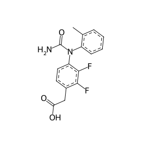 Cc1ccccc1N(C(N)=O)c1ccc(CC(=O)O)c(F)c1F